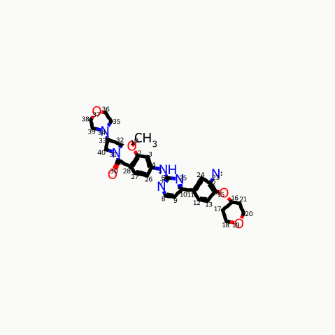 COc1cc(Nc2nccc(-c3ccc(OC4CCOCC4)c([N])c3)n2)ccc1C(=O)N1CC(N2CCOCC2)C1